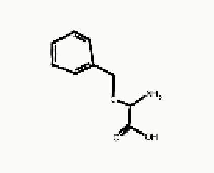 NC(OCc1ccccc1)C(=O)O